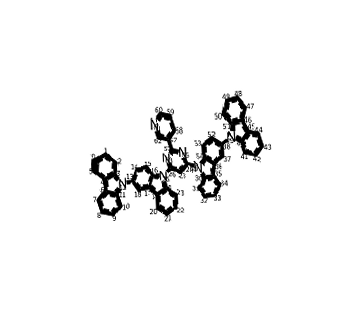 c1ccc2c(c#1)c1ccccc1n2-c1ccc2c(c1)c1ccccc1n2-c1cc(-n2c3ccccc3c3cc(-n4c5ccccc5c5ccccc54)ccc32)nc(-c2cccnc2)n1